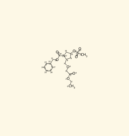 CCOC(=O)COCC1CC(OS(C)(=O)=O)CN1C(=O)OCc1ccccc1